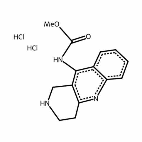 COC(=O)Nc1c2c(nc3ccccc13)CCNC2.Cl.Cl